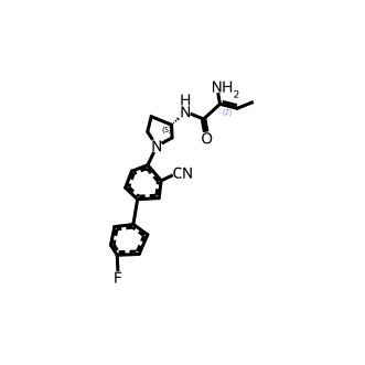 C/C=C(\N)C(=O)N[C@H]1CCN(c2ccc(-c3ccc(F)cc3)cc2C#N)C1